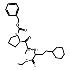 CCOC(=O)C(CCC1CCCCC1)N[C@@H](C)C(=O)N1CCC[C@H]1C(=O)OCc1ccccc1